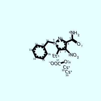 CCc1c([N+](=O)[O-])c(C(N)=O)nn1Cc1ccccc1.O=C([O-])[O-].[Cs+].[Cs+]